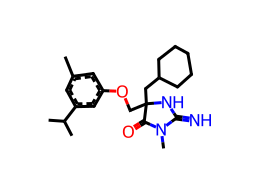 Cc1cc(OCC2(CC3CCCCC3)NC(=N)N(C)C2=O)cc(C(C)C)c1